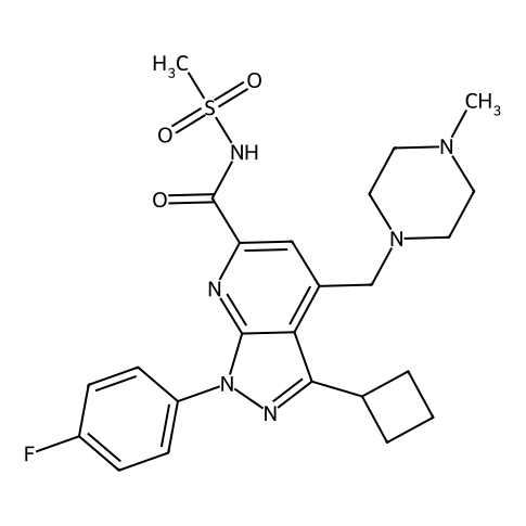 CN1CCN(Cc2cc(C(=O)NS(C)(=O)=O)nc3c2c(C2CCC2)nn3-c2ccc(F)cc2)CC1